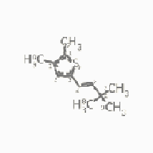 Cc1cc(/C=C/C(C)(C)C)sc1C